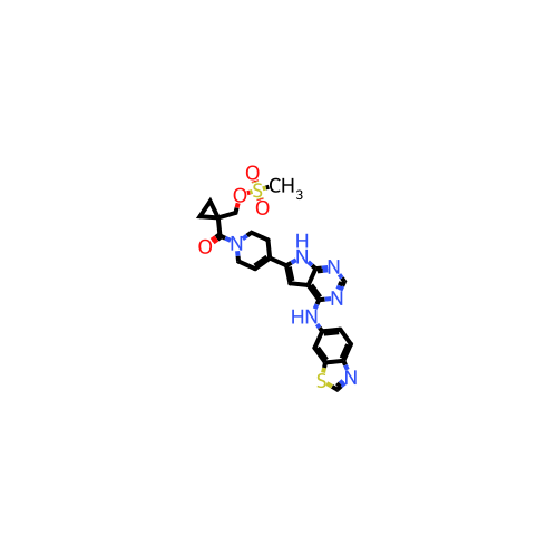 CS(=O)(=O)OCC1(C(=O)N2CC=C(c3cc4c(Nc5ccc6ncsc6c5)ncnc4[nH]3)CC2)CC1